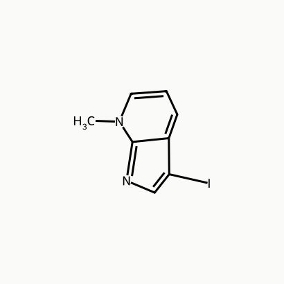 Cn1cccc2c(I)cnc1-2